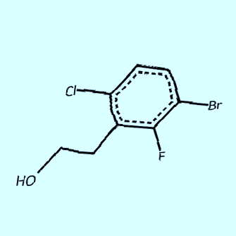 OCCc1c(Cl)ccc(Br)c1F